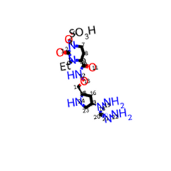 CCN1C(=O)N(OS(=O)(=O)O)CC[C@H]1C(=O)NOC[C@H]1C[C@H](N(N)/C=N\N)CN1